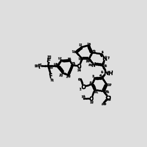 COc1cc(Nc2ncc3cccc(Oc4ccc(C(F)(F)F)cc4)c3n2)cc(OC)c1OC